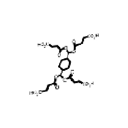 O=C(O)CCC(=O)OC(OC(=O)CCC(=O)O)[C@H]1CC[C@@H](C(OC(=O)CCC(=O)O)OC(=O)CCC(=O)O)CC1